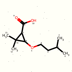 CC(C)CCOC1C(C(=O)O)C1(C)C